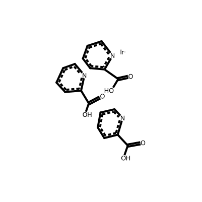 O=C(O)c1ccccn1.O=C(O)c1ccccn1.O=C(O)c1ccccn1.[Ir]